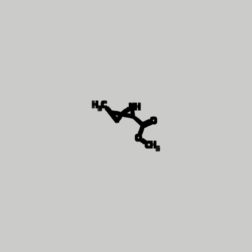 COC(=O)[C@@H]1N[C@]12CC2C